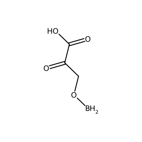 BOCC(=O)C(=O)O